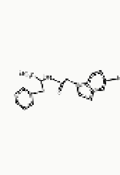 CCOC(=O)C(Cc1ccccc1)NC(=O)Cn1ccc2cc([N+](=O)[O-])ccc21